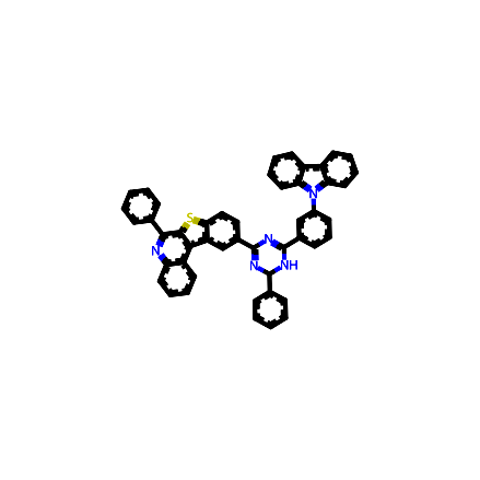 c1ccc(-c2nc3ccccc3c3c2sc2ccc(C4=NC(c5ccccc5)NC(c5cccc(-n6c7ccccc7c7ccccc76)c5)=N4)cc23)cc1